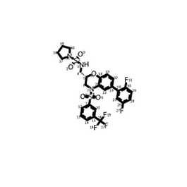 O=S(=O)(NC[C@H]1CN(S(=O)(=O)c2cccc(C(F)(F)F)c2)c2cc(-c3cc(F)ccc3F)ccc2O1)N1CCCC1